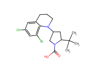 CC(C)(C)C1CC(N2CCCc3cc(Cl)cc(Br)c32)CN1C(=O)O